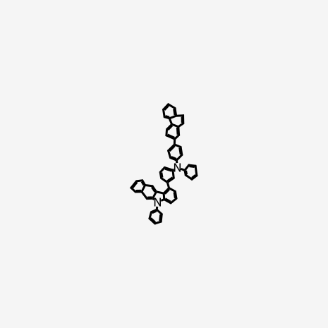 c1ccc(N(c2ccc(-c3ccc4c(ccc5ccccc54)c3)cc2)c2cccc(-c3cccc4c3c3cc5ccccc5cc3n4-c3ccccc3)c2)cc1